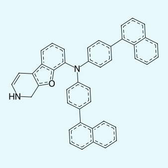 C1=Cc2c(oc3c(N(c4ccc(-c5cccc6ccccc56)cc4)c4ccc(-c5cccc6ccccc56)cc4)cccc23)CN1